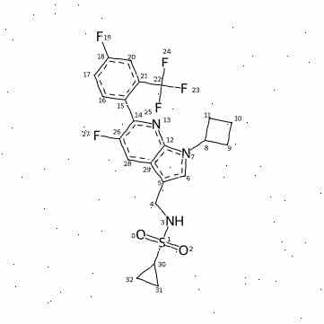 O=S(=O)(NCc1cn(C2CCC2)c2nc(-c3ccc(F)cc3C(F)(F)F)c(F)cc12)C1CC1